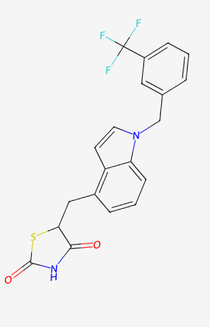 O=C1NC(=O)C(Cc2cccc3c2ccn3Cc2cccc(C(F)(F)F)c2)S1